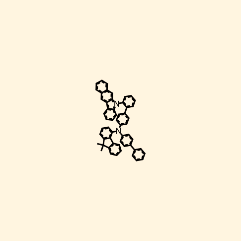 CC1(C)c2ccccc2-c2c(N(c3ccc(-c4ccccc4)cc3)c3ccc(-c4ccccc4-n4c5ccccc5c5cc6ccccc6cc54)cc3)cccc21